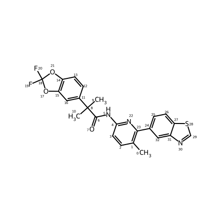 Cc1ccc(NC(=O)C(C)(C)c2ccc3c(c2)OC(F)(F)O3)nc1-c1ccc2scnc2c1